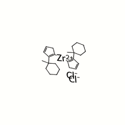 CC1(C2=[C]([Zr+2][C]3=C(C4(C)CCCCC4)C=CC3)CC=C2)CCCCC1.[Cl-].[Cl-]